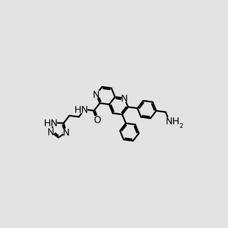 NCc1ccc(-c2nc3ccnc(C(=O)NCCc4ncn[nH]4)c3cc2-c2ccccc2)cc1